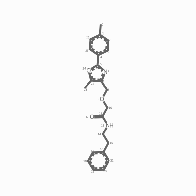 Cc1ccc(-c2nc(COCC(=O)NCCc3ccccc3)c(C)o2)cc1